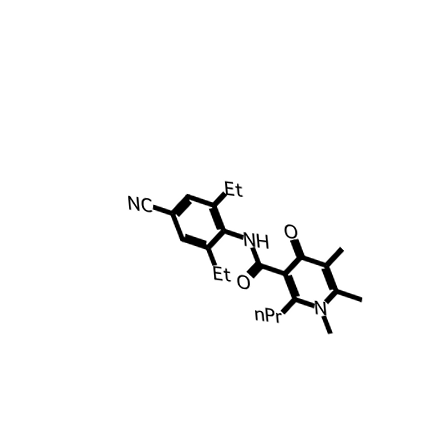 CCCc1c(C(=O)Nc2c(CC)cc(C#N)cc2CC)c(=O)c(C)c(C)n1C